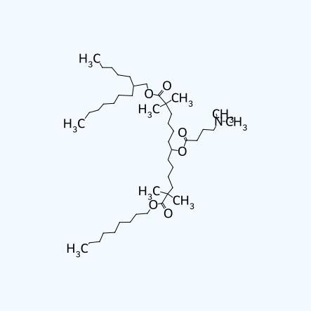 CCCCCCCCCOC(=O)C(C)(C)CCCCC(CCCCC(C)(C)C(=O)OCC(CCCCC)CCCCCCC)OC(=O)CCCN(C)C